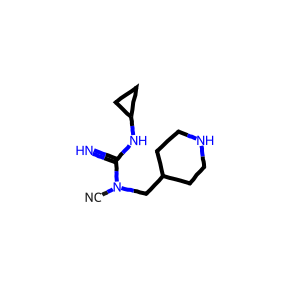 N#CN(CC1CCNCC1)C(=N)NC1CC1